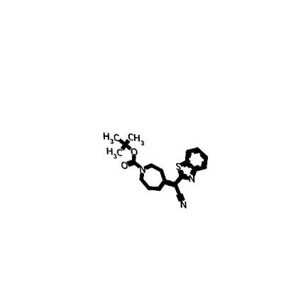 CC(C)(C)OC(=O)N1CCCC(=C(C#N)c2nc3ccccc3s2)CC1